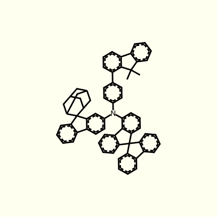 CC1(C)c2ccccc2-c2cccc(-c3ccc(N(c4ccc5c(c4)C4(c6ccccc6-5)C5CC6CC(C5)CC4C6)c4cccc5c4-c4ccccc4C54c5ccccc5-c5ccccc54)cc3)c21